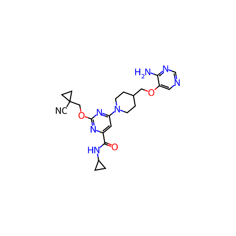 N#CC1(COc2nc(C(=O)NC3CC3)cc(N3CCC(COc4cncnc4N)CC3)n2)CC1